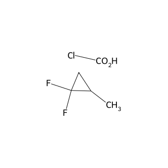 CC1CC1(F)F.O=C(O)Cl